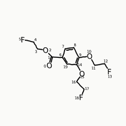 O=C(OCCF)c1ccc(OCCF)c(OCCF)c1